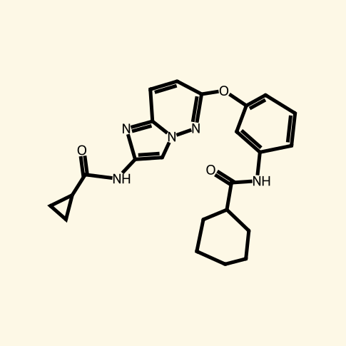 O=C(Nc1cccc(Oc2ccc3nc(NC(=O)C4CC4)cn3n2)c1)C1CCCCC1